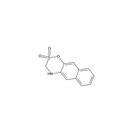 O=S1(=O)CNc2cc3ccccc3cc2O1